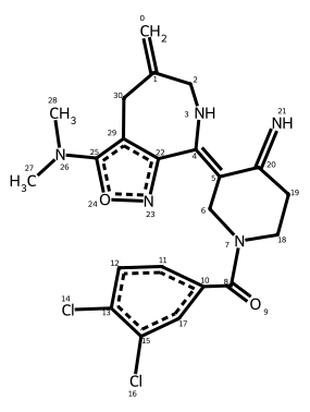 C=C1CN/C(=C2/CN(C(=O)c3ccc(Cl)c(Cl)c3)CCC2=N)c2noc(N(C)C)c2C1